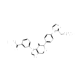 CNCc1nccn1-c1ccc(C2N=Cc3ncn(-c4cccc(C(N)=O)c4)c3C2=O)cc1